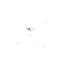 CCCCCCCCCCCCCCOC(C(=O)O)C(C(=O)O)S(=O)(=O)O.[NaH].[NaH].[NaH]